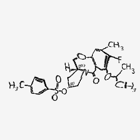 Cc1ccc(S(=O)(=O)O[C@@H]2C[C@@H]3COc4cc(C)c(F)c(OC(C)C)c4C(=O)N3C2)cc1